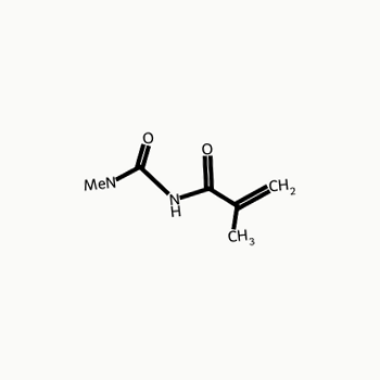 C=C(C)C(=O)NC(=O)NC